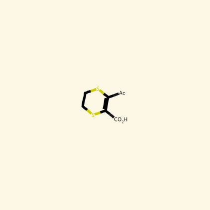 CC(=O)C1=C(C(=O)O)SCCS1